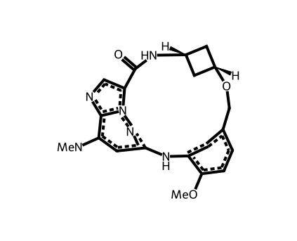 CNc1cc2nn3c(cnc13)C(=O)N[C@H]1C[C@H](C1)OCc1ccc(OC)c(c1)N2